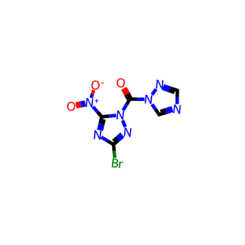 O=C(n1cncn1)n1nc(Br)nc1[N+](=O)[O-]